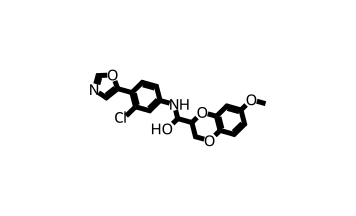 COc1ccc2c(c1)OC(C(O)Nc1ccc(-c3cnco3)c(Cl)c1)CO2